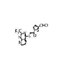 O=Cc1ccc(C(=O)CSc2nc(C(F)(F)F)nc3ncccc23)s1